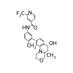 Cc1ccc(NC(=O)c2ccnc(C(F)(F)F)c2)cc1-c1ccc2c(c1)N1CCOC[C@]1(C)C[C@H]2O